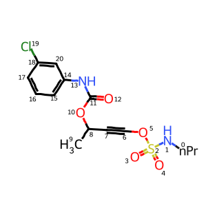 CCCNS(=O)(=O)OC#CC(C)OC(=O)Nc1cccc(Cl)c1